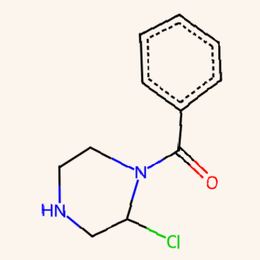 O=C(c1ccccc1)N1CCNCC1Cl